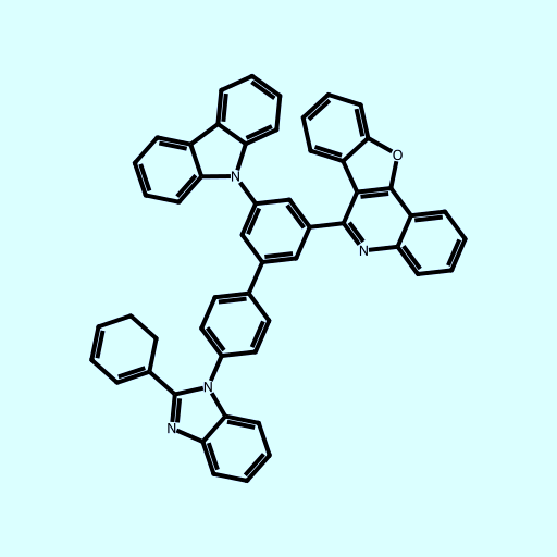 C1=CCCC(c2nc3ccccc3n2-c2ccc(-c3cc(-c4nc5ccccc5c5oc6ccccc6c45)cc(-n4c5ccccc5c5ccccc54)c3)cc2)=C1